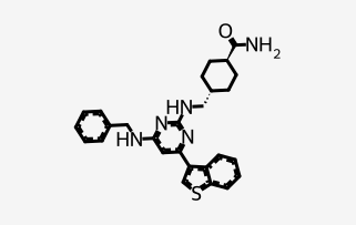 NC(=O)[C@H]1CC[C@H](CNc2nc(NCc3ccccc3)cc(-c3csc4ccccc34)n2)CC1